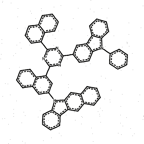 c1ccc(-n2c3ccccc3c3cc(-c4nc(-c5cccc6ccccc56)nc(-c5cc(-n6c7ccccc7c7cc8ccccc8cc76)cc6ccccc56)n4)ccc32)cc1